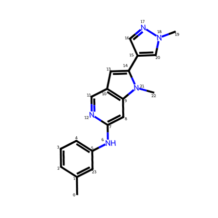 Cc1cccc(Nc2cc3c(cn2)cc(-c2cnn(C)c2)n3C)c1